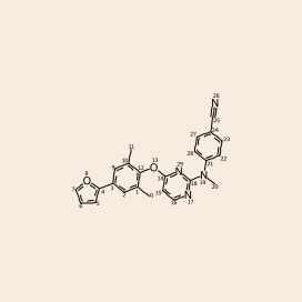 Cc1cc(-c2ccco2)cc(C)c1Oc1ccnc(N(C)c2ccc(C#N)cc2)n1